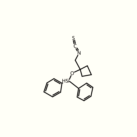 S=C=NCC1(O[SiH](c2ccccc2)c2ccccc2)CCC1